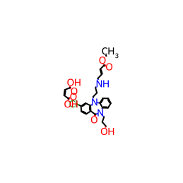 CCOC(=O)/C=C/CNCCCN1c2cc(Cl)ccc2C(=O)N(CCCO)c2ccccc21.O=C(O)/C=C\C(=O)O